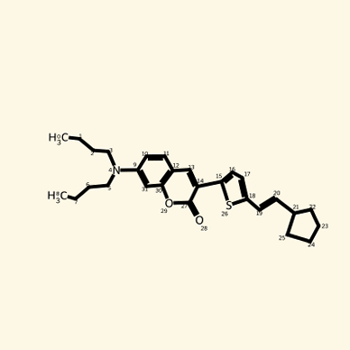 CCCCN(CCCC)c1ccc2cc(-c3ccc(/C=C/C4CCCC4)s3)c(=O)oc2c1